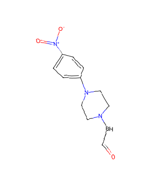 O=CBN1CCN(c2ccc([N+](=O)[O-])cc2)CC1